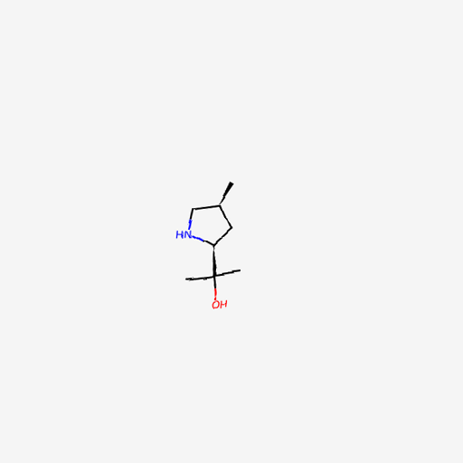 C[C@@H]1CN[C@H](C(C)(C)O)C1